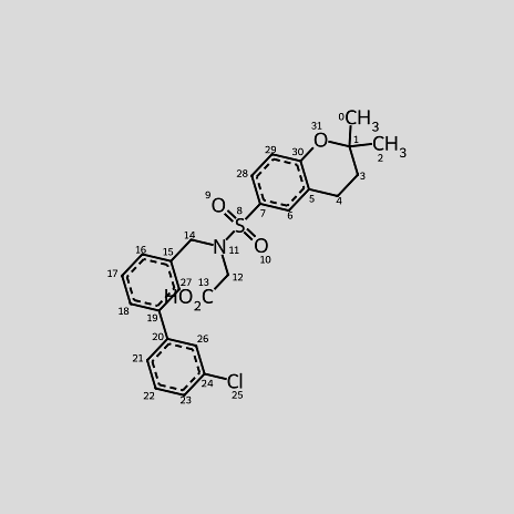 CC1(C)CCc2cc(S(=O)(=O)N(CC(=O)O)Cc3cccc(-c4cccc(Cl)c4)c3)ccc2O1